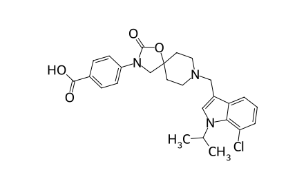 CC(C)n1cc(CN2CCC3(CC2)CN(c2ccc(C(=O)O)cc2)C(=O)O3)c2cccc(Cl)c21